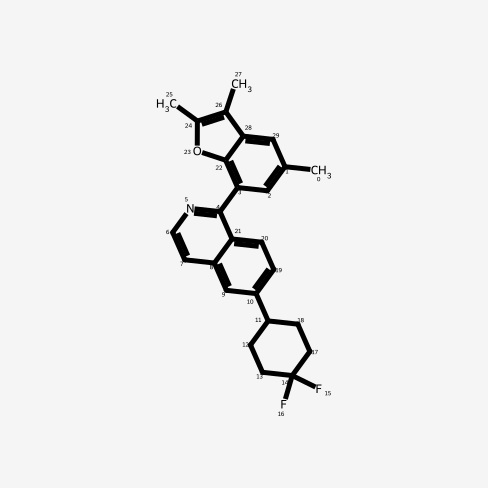 Cc1cc(-c2nccc3cc(C4CCC(F)(F)CC4)ccc23)c2oc(C)c(C)c2c1